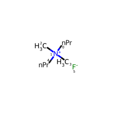 CCC[N+](C)(C)CCC.[F-]